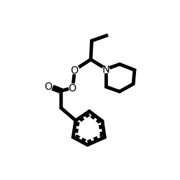 CCC(OOC(=O)Cc1ccccc1)N1CCCCC1